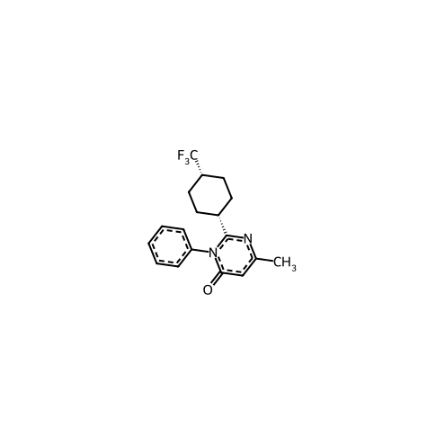 Cc1cc(=O)n(-c2ccccc2)c([C@H]2CC[C@@H](C(F)(F)F)CC2)n1